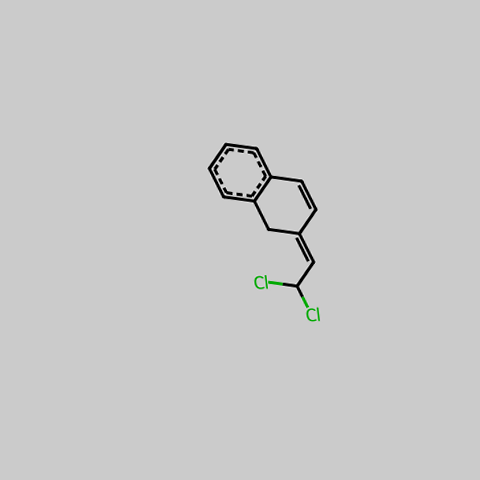 ClC(Cl)C=C1C=Cc2ccccc2C1